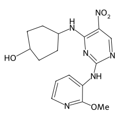 COc1ncccc1Nc1ncc([N+](=O)[O-])c(NC2CCC(O)CC2)n1